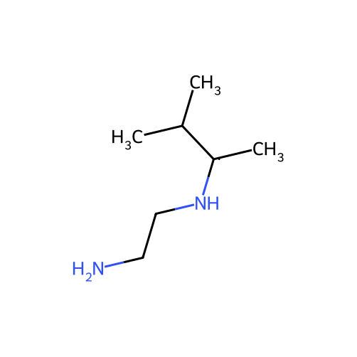 C[C](NCCN)C(C)C